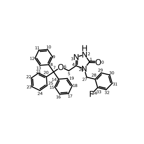 O=c1[nH]nc(COC(c2ccccc2)(c2ccccc2)c2ccccc2)n1Cc1ccccc1F